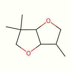 CC1COC2C1OCC2(C)C